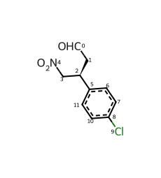 O=CC[C@H](C[N+](=O)[O-])c1ccc(Cl)cc1